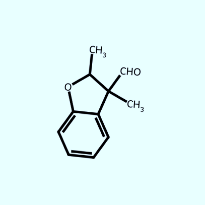 CC1Oc2ccccc2C1(C)C=O